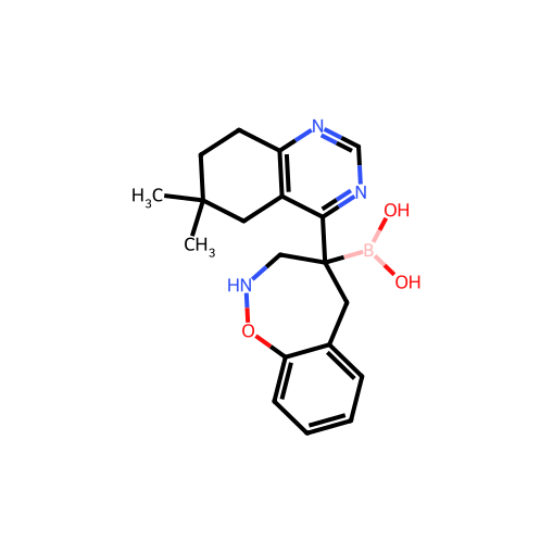 CC1(C)CCc2ncnc(C3(B(O)O)CNOc4ccccc4C3)c2C1